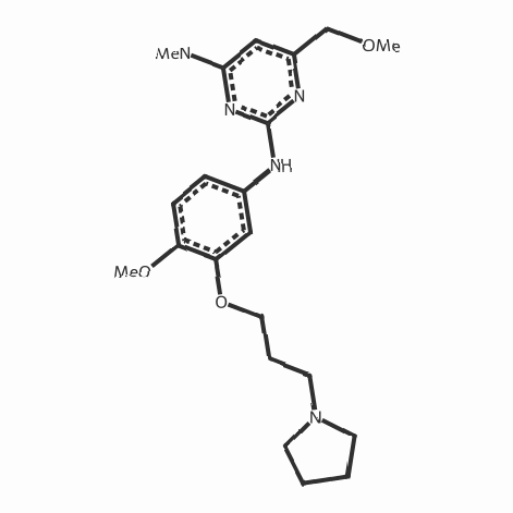 CNc1cc(COC)nc(Nc2ccc(OC)c(OCCCN3CCCC3)c2)n1